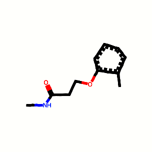 CNC(=O)CCOc1ccccc1C